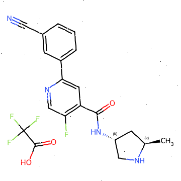 C[C@@H]1C[C@@H](NC(=O)c2cc(-c3cccc(C#N)c3)ncc2F)CN1.O=C(O)C(F)(F)F